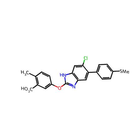 CSc1ccc(-c2cc3nc(Oc4ccc(C)c(C(=O)O)c4)[nH]c3cc2Cl)cc1